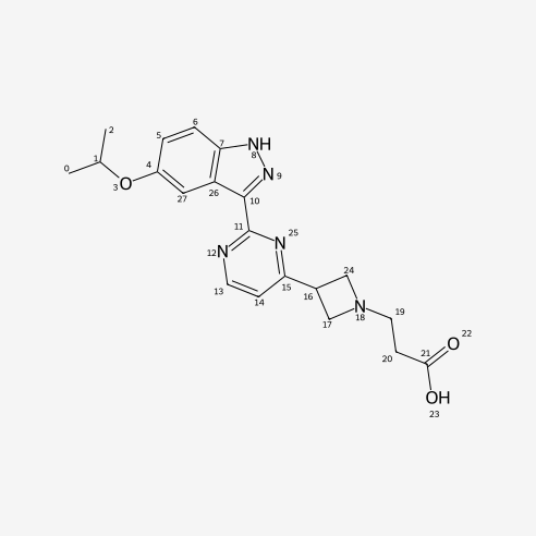 CC(C)Oc1ccc2[nH]nc(-c3nccc(C4CN(CCC(=O)O)C4)n3)c2c1